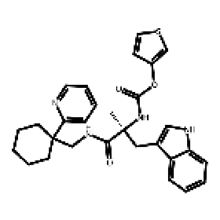 C[C@@](Cc1c[nH]c2ccccc12)(NC(=O)Oc1ccsc1)C(=O)NCC1(c2ccccn2)CCCCC1